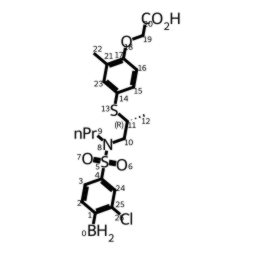 Bc1ccc(S(=O)(=O)N(CCC)C[C@@H](C)Sc2ccc(OCC(=O)O)c(C)c2)cc1Cl